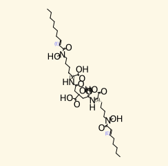 CCCCC/C=C/C(=O)N(O)CCCC[C@H](NC(=O)CC(O)(CC(=O)N[C@@H](CCCCN(O)C(=O)/C=C/CCCCCCC)C(=O)O)C(=O)O)C(=O)O